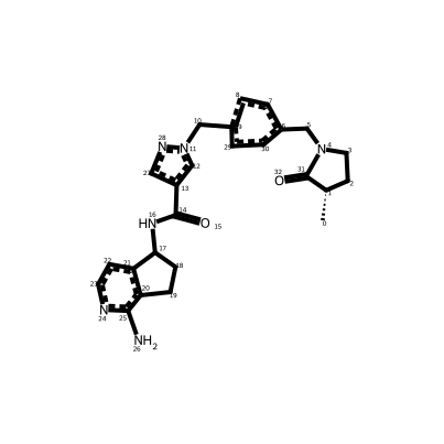 C[C@H]1CCN(Cc2ccc(Cn3cc(C(=O)NC4CCc5c4ccnc5N)cn3)cc2)C1=O